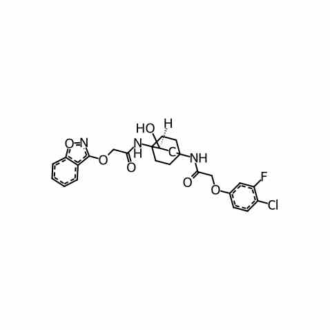 O=C(COc1ccc(Cl)c(F)c1)NC12CCC(NC(=O)COc3noc4ccccc34)(CC1)[C@@H](O)C2